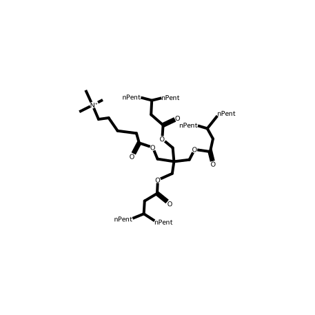 CCCCCC(CCCCC)CC(=O)OCC(COC(=O)CCCC[N+](C)(C)C)(COC(=O)CC(CCCCC)CCCCC)COC(=O)CC(CCCCC)CCCCC